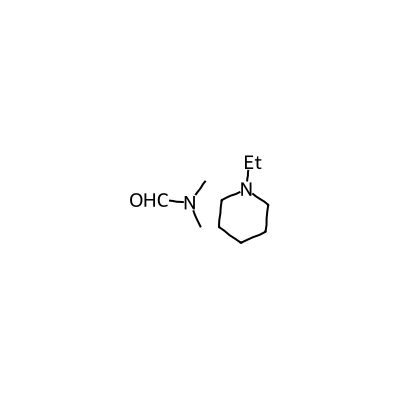 CCN1CCCCC1.CN(C)C=O